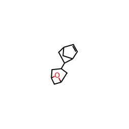 C1=CC2CC1CC2C1CC2CC(C1)O2